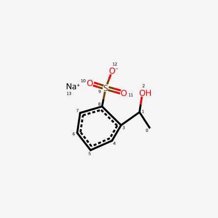 CC(O)c1ccccc1S(=O)(=O)[O-].[Na+]